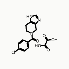 O=C(O)C(=O)O.O=C(c1ccc(Cl)cc1)N1CCc2[nH]cnc2C1